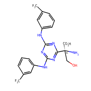 N[C@](CO)(C(=O)O)c1nc(Nc2cccc(C(F)(F)F)c2)nc(Nc2cccc(C(F)(F)F)c2)n1